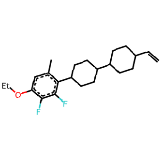 C=CC1CCC(C2CCC(c3c(C)cc(OCC)c(F)c3F)CC2)CC1